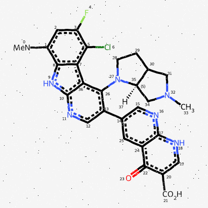 CNc1cc(F)c(Cl)c2c1[nH]c1ncc(-c3cnc4[nH]cc(C(=O)O)c(=O)c4c3)c(N3CCC4CN(C)C[C@H]43)c12